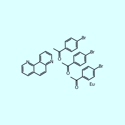 CC(=O)c1ccc(Br)cc1.CC(=O)c1ccc(Br)cc1.CC(=O)c1ccc(Br)cc1.[Eu].c1cnc2c(c1)ccc1ncccc12